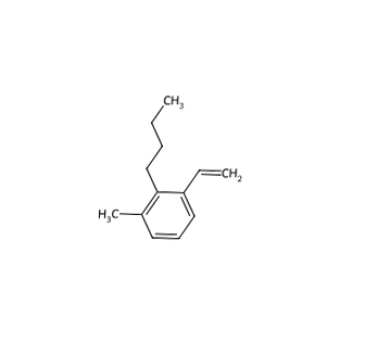 C=Cc1cccc(C)c1CCCC